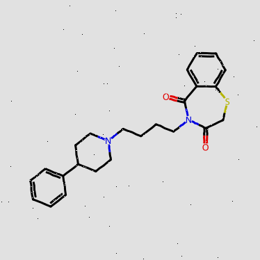 O=C1CSc2ccccc2C(=O)N1CCCCN1CCC(c2ccccc2)CC1